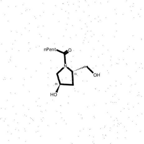 CCCCCC(=O)N1C[C@H](O)C[C@H]1CO